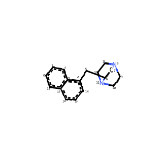 c1ccc2c(CC3CN4CCN3CC4)cccc2c1